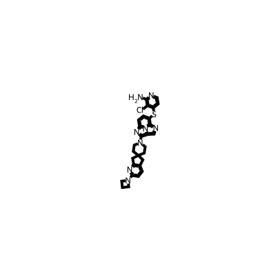 Nc1nccc(Sc2ccc3nc(N4CCC5(CC4)Cc4ccc(N6CCC6)nc4C5)c4cnc2n34)c1Cl